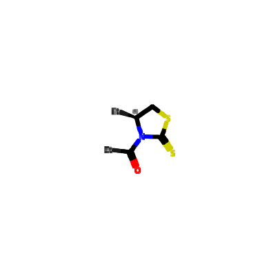 CCC(=O)N1C(=S)SC[C@@H]1CC